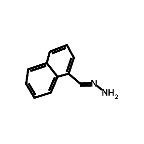 NN=Cc1cccc2ccccc12